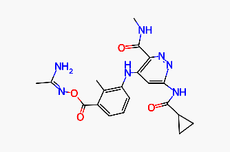 CNC(=O)c1nnc(NC(=O)C2CC2)cc1Nc1cccc(C(=O)O/N=C(/C)N)c1C